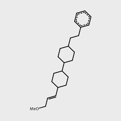 COCC=CC1CCC(C2CCC(CCc3ccccc3)CC2)CC1